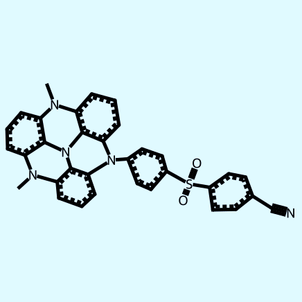 CN1c2cccc3c2N2c4c1cccc4N(c1ccc(S(=O)(=O)c4ccc(C#N)cc4)cc1)c1cccc(c12)N3C